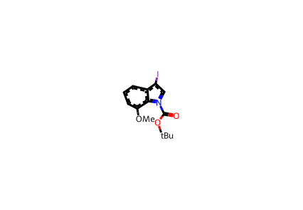 COc1cccc2c(I)cn(C(=O)OC(C)(C)C)c12